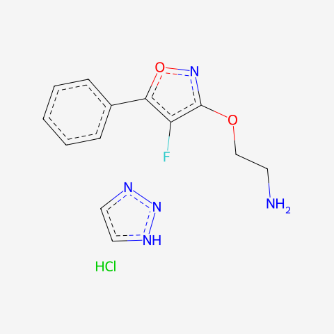 Cl.NCCOc1noc(-c2ccccc2)c1F.c1c[nH]nn1